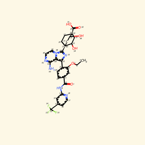 CCOc1cc(C(=O)Nc2cc(C(F)(F)F)ccn2)ccc1-c1nc([C@]23CC[C@](C(=O)O)(CC2O)C(O)C3)n2ccnc(N)c12